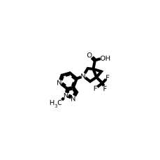 Cn1ncc2c(N3CC4(C(=O)O)CC4(C(F)(F)F)C3)ccnc21